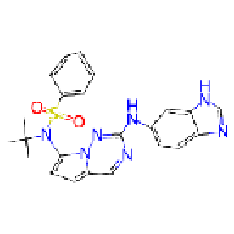 CC(C)(C)N(c1ccc2cnc(Nc3ccc4nc[nH]c4c3)nn12)S(=O)(=O)c1ccccc1